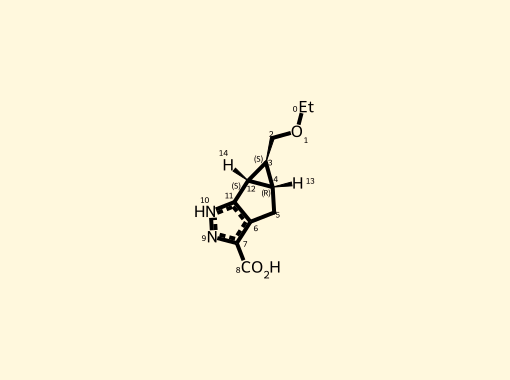 CCOC[C@H]1[C@@H]2Cc3c(C(=O)O)n[nH]c3[C@H]12